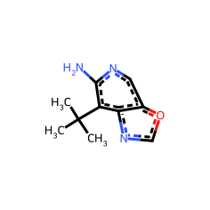 CC(C)(C)c1c(N)ncc2ocnc12